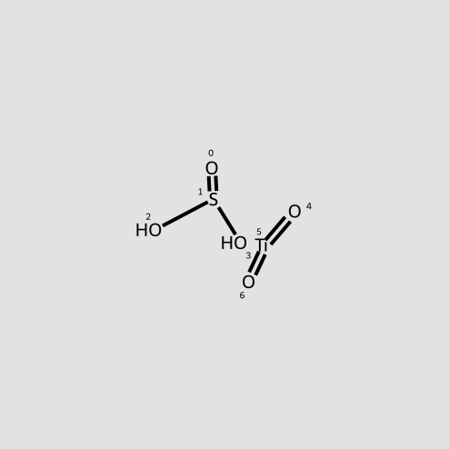 O=S(O)O.[O]=[Ti]=[O]